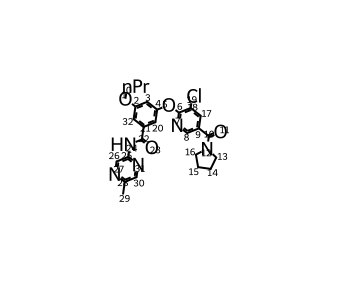 CCCOc1cc(Oc2ncc(C(=O)N3CCCC3)cc2Cl)cc(C(=O)Nc2cnc(C)cn2)c1